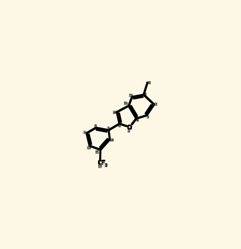 Cc1ccc2oc(-c3cccc(C(F)(F)F)c3)cc2c1